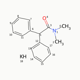 CN(C)C(=O)C(c1ccccc1)c1ccccc1.[KH]